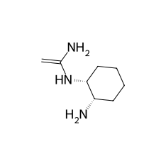 C=C(N)N[C@@H]1CCCC[C@@H]1N